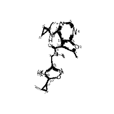 Cc1oc2ncnc(NC3(C)CC3)c2c1C(=O)NCC1=NOC(C2CC2)N1